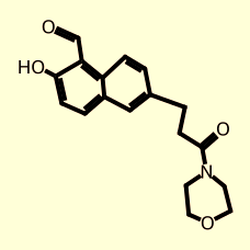 O=Cc1c(O)ccc2cc(CCC(=O)N3CCOCC3)ccc12